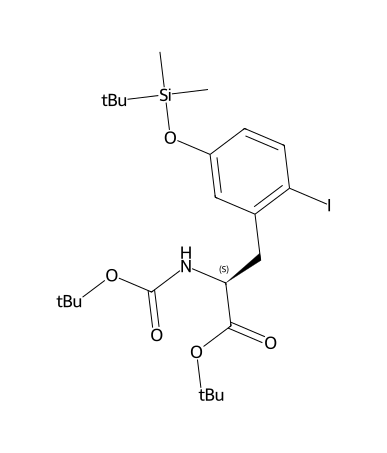 CC(C)(C)OC(=O)N[C@@H](Cc1cc(O[Si](C)(C)C(C)(C)C)ccc1I)C(=O)OC(C)(C)C